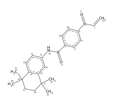 C=CC(=O)c1ccc(C(=O)Nc2ccc3c(c2)C(C)(C)CCC3(C)C)cc1